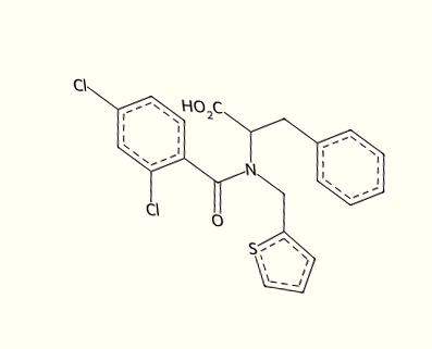 O=C(O)C(Cc1ccccc1)N(Cc1cccs1)C(=O)c1ccc(Cl)cc1Cl